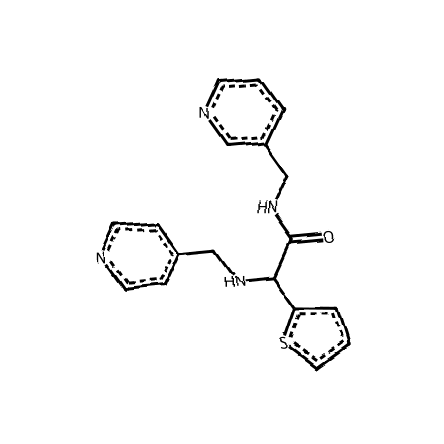 O=C(NCc1cccnc1)C(NCc1ccncc1)c1cccs1